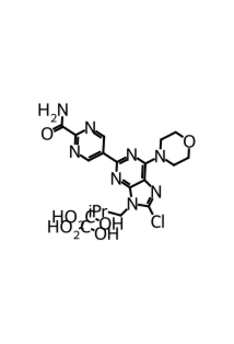 CC(C)Cn1c(Cl)nc2c(N3CCOCC3)nc(-c3cnc(C(N)=O)nc3)nc21.O=C(O)O.O=C(O)O